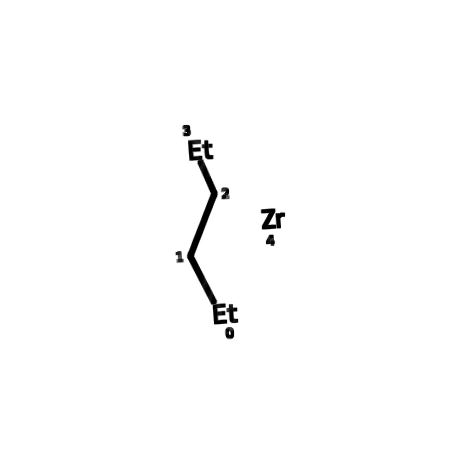 [CH2]CCCCC.[Zr]